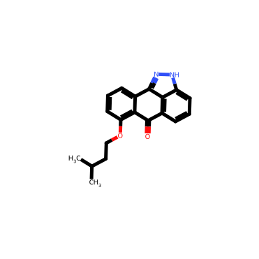 CC(C)CCOc1cccc2c1C(=O)c1cccc3[nH]nc-2c13